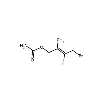 C/C(COC(N)=O)=C(/F)CBr